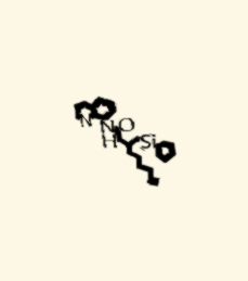 C=CCCCCC(CC(=O)Nc1cccc2cccnc12)C[Si](C)(C)c1ccccc1